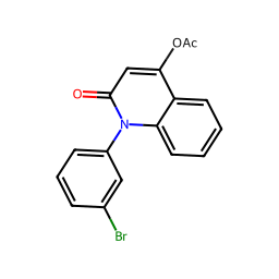 CC(=O)Oc1cc(=O)n(-c2cccc(Br)c2)c2ccccc12